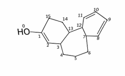 OC1=CC2CCCC3C=CC=CC3C2CC1